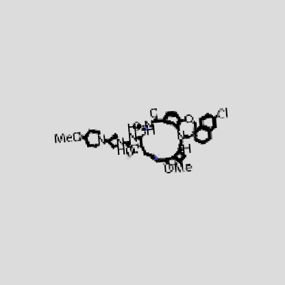 COC1CCN(C2CN(C(=O)NC3[C@@H](C)C/C=C/[C@H](OC)[C@@H]4CC[C@H]4CN4C[C@@]5(CCCc6cc(Cl)ccc65)COc5ccc(cc54)C(=O)/N=[SH]\3=O)C2)CC1